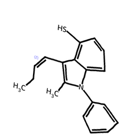 CC/C=C\c1c(C)n(-c2ccccc2)c2cccc(S)c12